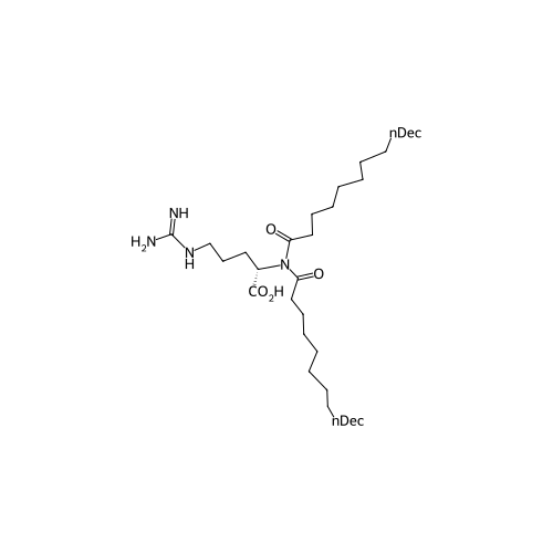 CCCCCCCCCCCCCCCCCC(=O)N(C(=O)CCCCCCCCCCCCCCCCC)[C@@H](CCCNC(=N)N)C(=O)O